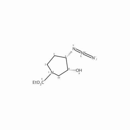 CCOC(=O)N1CC[C@H](N=[N+]=[N-])[C@H](O)C1